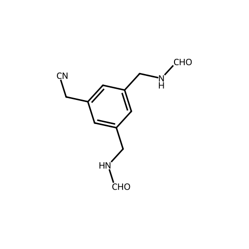 N#CCc1cc(CNC=O)cc(CNC=O)c1